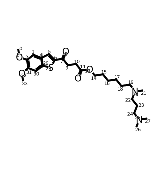 COc1cc2cc(C(=O)CCC(=O)OCCCCCCN(C)CCCN(C)C)sc2cc1OC